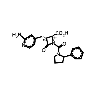 Nc1cc(C[C@H]2C(=O)N(C(=O)N3CCCC3c3ccccc3)[C@@H]2C(=O)O)ccn1